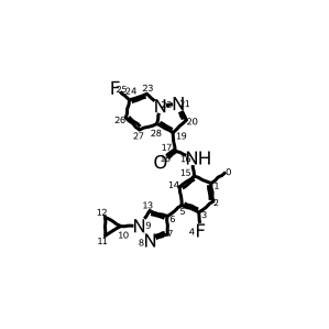 Cc1cc(F)c(-c2cnn(C3CC3)c2)cc1NC(=O)c1cnn2cc(F)ccc12